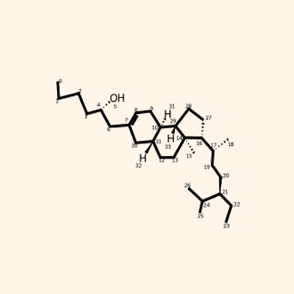 CCCC[C@H](O)CC1=CC[C@@H]2[C@H](CC[C@]3(C)[C@@H]([C@H](C)CC[C@@H](CC)C(C)C)CC[C@@H]23)C1